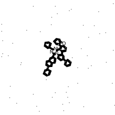 c1ccc(C2=NC(c3ccc4cc(-c5ccccc5)ccc4c3)=NC(c3c(-c4cccc(-c5ccccc5)c4)ccc4oc5ccccc5c34)N2)cc1